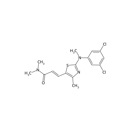 Cc1nc(N(C)c2cc(Cl)cc(Cl)c2)sc1C=CC(=O)N(C)C